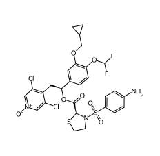 Nc1ccc(S(=O)(=O)N2CCS[C@H]2C(=O)O[C@@H](Cc2c(Cl)c[n+]([O-])cc2Cl)c2ccc(OC(F)F)c(OCC3CC3)c2)cc1